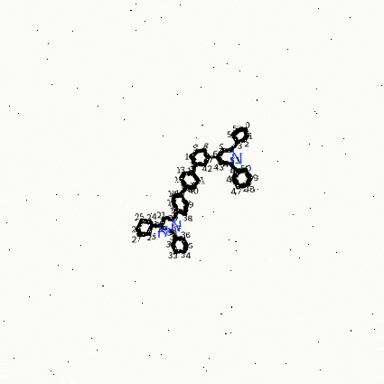 c1ccc(-c2cc(-c3cccc(-c4ccc(-c5ccc(-c6cc(-c7ccccc7)nc(-c7ccccc7)n6)cc5)cc4)c3)cc(-c3ccccc3)n2)cc1